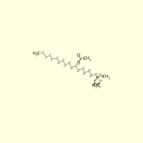 CC(=O)[O-].CCCCCCCCCCCCCCCCCC[P+](CC)(CC)CC